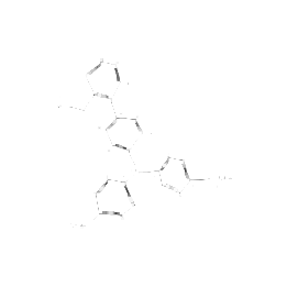 COc1ccc(N(c2ccc(OC)cc2)c2ccc(-c3[c]cccc3CC#N)cc2)cc1